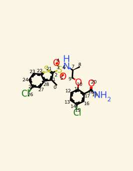 Cc1c(S(=O)(=O)N[C@@H](C)COc2ccc(Cl)cc2C(N)=O)sc2ccc(Cl)cc12